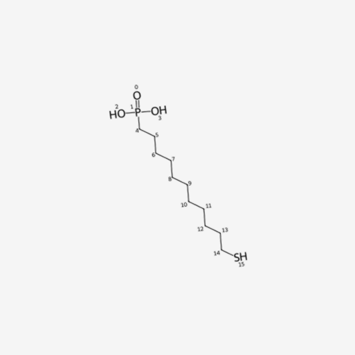 O=P(O)(O)CCCCCCCCCCCS